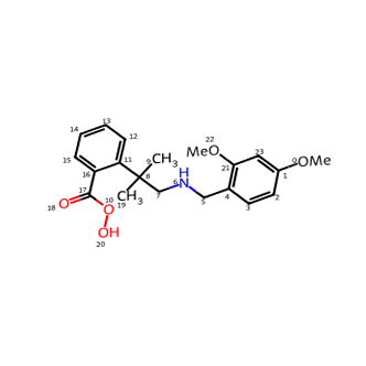 COc1ccc(CNCC(C)(C)c2ccccc2C(=O)OO)c(OC)c1